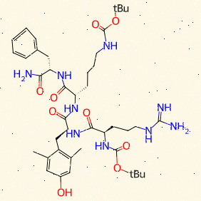 Cc1cc(O)cc(C)c1C[C@H](NC(=O)[C@@H](CCCNC(=N)N)NC(=O)OC(C)(C)C)C(=O)N[C@@H](CCCCNC(=O)OC(C)(C)C)C(=O)N[C@@H](Cc1ccccc1)C(N)=O